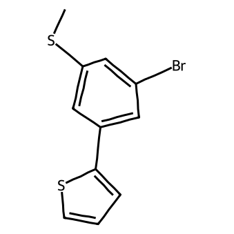 CSc1cc(Br)cc(-c2cccs2)c1